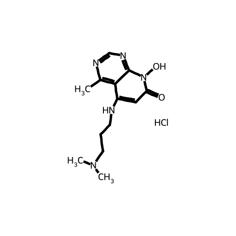 Cc1ncnc2c1c(NCCCN(C)C)cc(=O)n2O.Cl